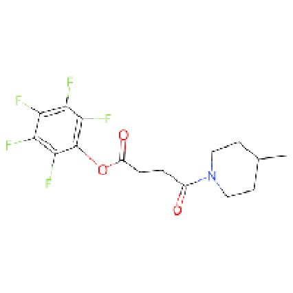 CC1CCN(C(=O)CCC(=O)Oc2c(F)c(F)c(F)c(F)c2F)CC1